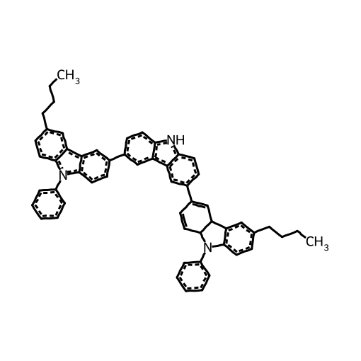 CCCCc1ccc2c(c1)C1C=C(c3ccc4[nH]c5ccc(-c6ccc7c(c6)c6cc(CCCC)ccc6n7-c6ccccc6)cc5c4c3)C=CC1N2c1ccccc1